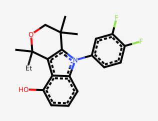 CCC1(C)OCC(C)(C)c2c1c1c(O)cccc1n2-c1ccc(F)c(F)c1